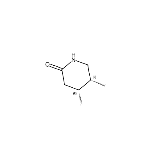 C[C@@H]1CC(=O)NC[C@@H]1C